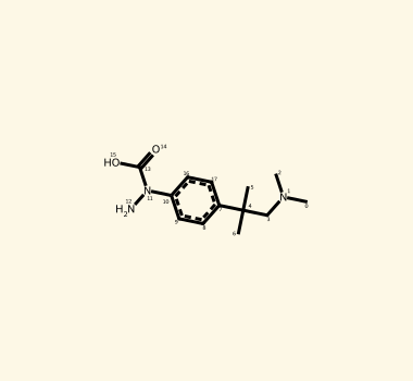 CN(C)CC(C)(C)c1ccc(N(N)C(=O)O)cc1